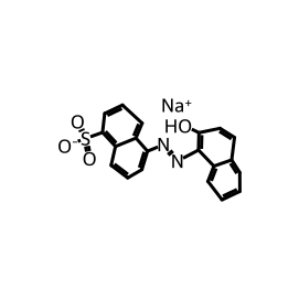 O=S(=O)([O-])c1cccc2c(N=Nc3c(O)ccc4ccccc34)cccc12.[Na+]